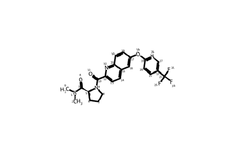 CN(C)C(=O)[C@@H]1CCCN1C(=O)c1ccc2cc(Oc3ccc(C(F)(F)F)cn3)ccc2n1